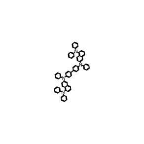 c1ccc(N(c2ccc(-c3ccc(N(c4ccccc4)c4ccc5c(N(c6ccccc6)c6ccccc6)cccc5c4)cc3)cc2)c2ccc3c(N(c4ccccc4)c4ccccc4)cccc3c2)cc1